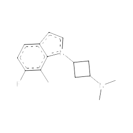 Cc1c(F)ccc2ccn(C3CC(N(C)C)C3)c12